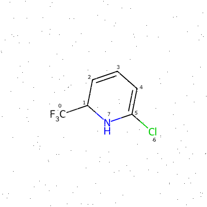 FC(F)(F)C1C=CC=C(Cl)N1